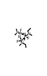 CCN(C)P1(F)=NP(F)(N(C)C)=NP(F)(N(C)CC)=N1